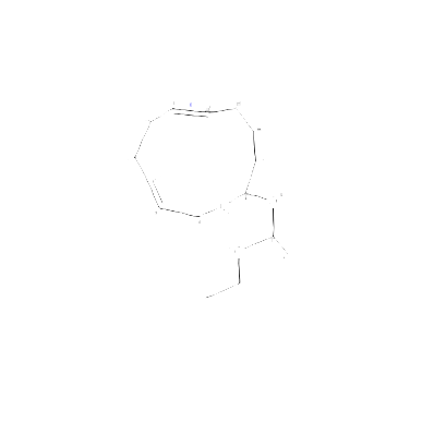 CCOC(C)OC1CCC=CCC/C=C/CCC1